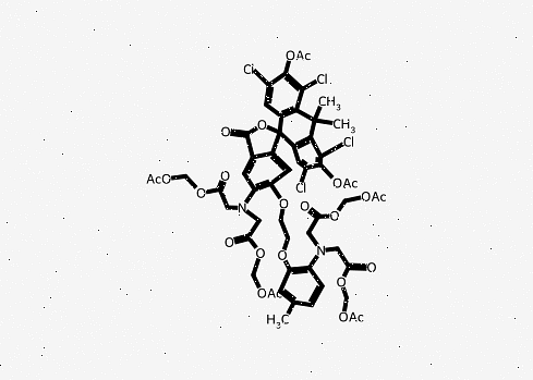 CC(=O)OCOC(=O)CN(CC(=O)OCOC(C)=O)c1ccc(C)cc1OCCOc1cc2c(cc1N(CC(=O)OCOC(C)=O)CC(=O)OCOC(C)=O)C(=O)OC21c2cc(Cl)c(OC(C)=O)c(Cl)c2C(C)(C)c2c1cc(Cl)c(OC(C)=O)c2Cl